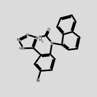 NC(=O)N(c1ccc(Br)cc1-c1nnn[nH]1)c1cccc2ccccc12